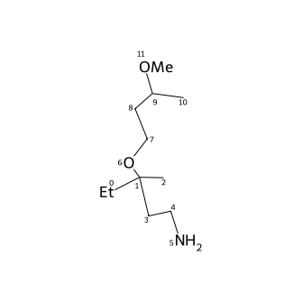 CCC(C)(CCN)OCCC(C)OC